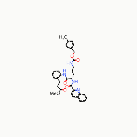 COC(=O)CCc1ccccc1NC(=O)[C@H](CCCNC(=O)OCc1ccc(C)cc1)NC(=O)c1ccc2ccccc2n1